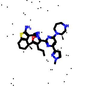 CCCc1c(-c2nc(-c3ccn(C)n3)cc(N3CCCNC[C@@H]3C)n2)noc1[C@@]1(C)CCCc2sc(N)c(C#N)c21